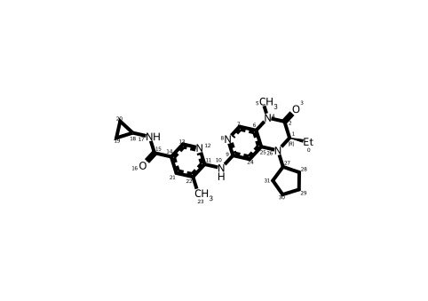 CC[C@@H]1C(=O)N(C)c2cnc(Nc3ncc(C(=O)NC4CC4)cc3C)cc2N1C1CCCC1